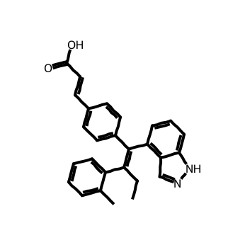 CCC(=C(c1ccc(C=CC(=O)O)cc1)c1cccc2[nH]ncc12)c1ccccc1C